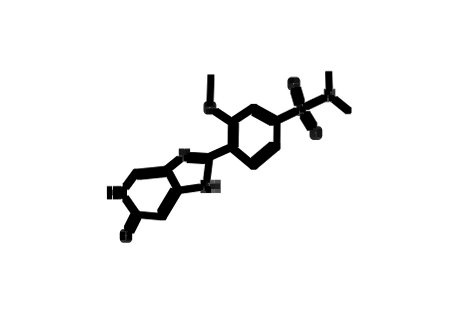 COc1cc(S(=O)(=O)N(C)C)ccc1-c1nc2c[nH]c(=O)cc2[nH]1